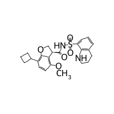 COc1ccc(C2CCC2)c2c1[C@H](C(=O)NS(=O)(=O)c1cccc3c1NCCC3)CO2